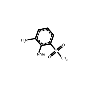 CNc1c(N)cccc1S(C)(=O)=O